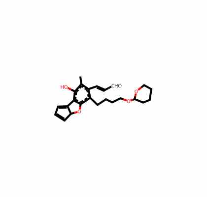 Cc1c(O)c2c(c(CCCCOC3CCCCO3)c1C=CC=O)OC1C=CC=C21